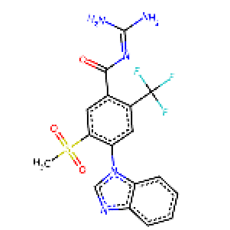 CS(=O)(=O)c1cc(C(=O)N=C(N)N)c(C(F)(F)F)cc1-n1cnc2ccccc21